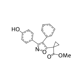 COC(=O)C1(c2onc(-c3ccc(O)cc3)c2-c2ccccc2)CC1